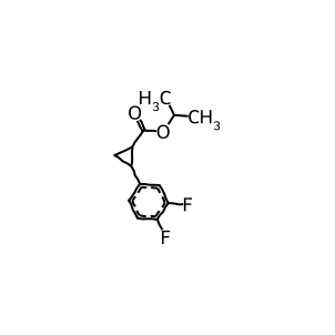 CC(C)OC(=O)C1CC1c1ccc(F)c(F)c1